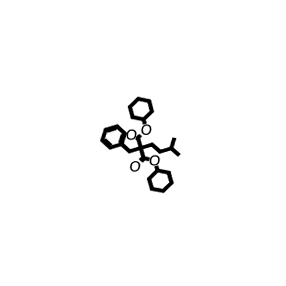 CC(C)CCC(Cc1ccccc1)(C(=O)OC1CCCCC1)C(=O)OC1CCCCC1